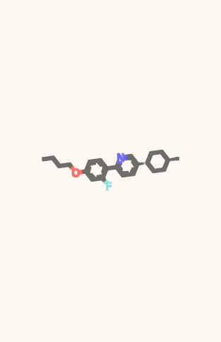 CCCCOc1ccc(-c2ccc([C@H]3CC[C@H](C)CC3)cn2)c(F)c1